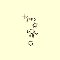 CC(C)(C)OC(=O)NCC1(c2nnc([C@@H]3CC4(CC4)[C@H]4CN3C(=O)N4OCc3ccccc3)o2)CC1